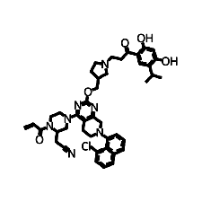 C=CC(=O)N1CCN(c2nc(OCC3CCN(CCC(=O)c4cc(C(C)C)c(O)cc4O)C3)nc3c2CCN(c2cccc4cccc(Cl)c24)C3)CC1CC#N